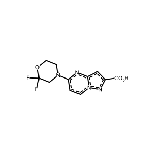 O=C(O)c1cc2nc(N3CCOC(F)(F)C3)ccn2n1